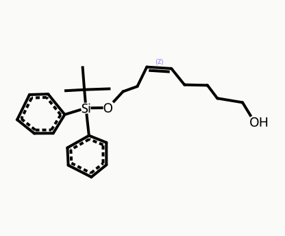 CC(C)(C)[Si](OCC/C=C\CCCCO)(c1ccccc1)c1ccccc1